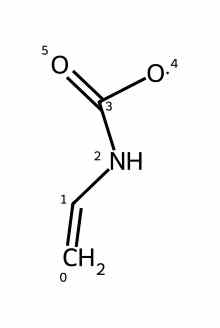 C=CNC([O])=O